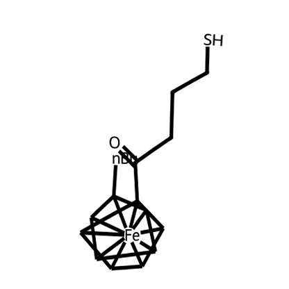 CCCC[C]12[CH]3[CH]4[CH]5[CH]1[Fe]45321678[CH]2[CH]1[CH]6[C]7(C(=O)CCCS)[CH]28